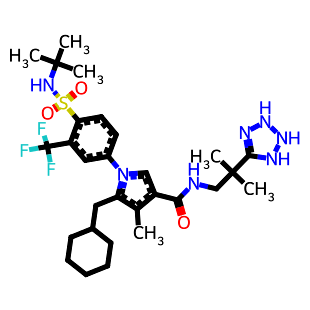 Cc1c(C(=O)NCC(C)(C)C2=NNNN2)cn(-c2ccc(S(=O)(=O)NC(C)(C)C)c(C(F)(F)F)c2)c1CC1CCCCC1